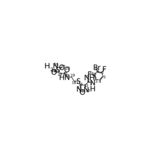 N=C(Nc1ccc(F)c(Br)c1F)c1nonc1SCCNC(=O)CS(N)(=O)=O